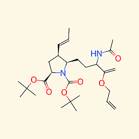 C=CCOC(=C)C(CC[C@@H]1[C@H](C=CC)C[C@H](C(=O)OC(C)(C)C)N1C(=O)OC(C)(C)C)NC(C)=O